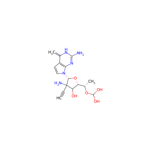 C#CC1(N)C(O)[C@@H]([C@H](C)OC(O)O)O[C@H]1n1ccc2c1N=C(N)NC2=C